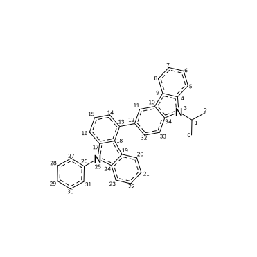 CC(C)n1c2ccccc2c2cc(-c3cccc4c3c3ccccc3n4-c3ccccc3)ccc21